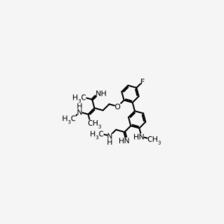 CNCC(=N)c1cc(-c2cc(F)ccc2OCC/C(C(C)=N)=C(\C)NC)ccc1NC